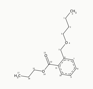 CCCCOCc1ccccc1C(=O)OCCC